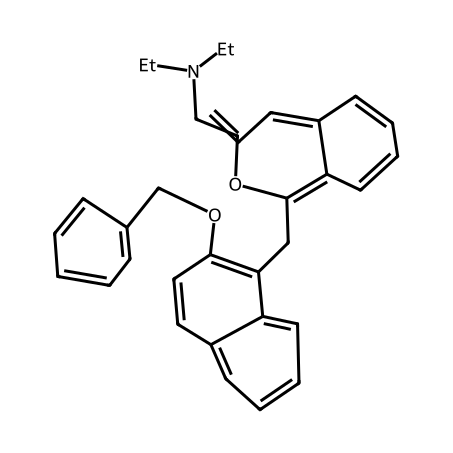 C=C/C=c1/cccc/c1=C(\Cc1c(OCc2ccccc2)ccc2ccccc12)OCCN(CC)CC